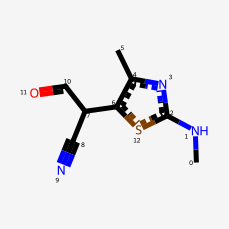 CNc1nc(C)c(C(C#N)C=O)s1